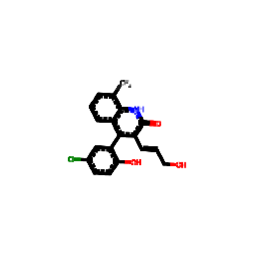 O=c1[nH]c2c(C(F)(F)F)cccc2c(-c2cc(Cl)ccc2O)c1C=CCO